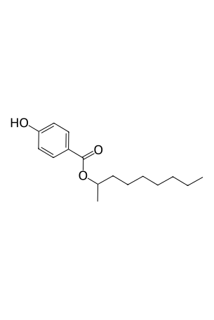 CCCCCCCC(C)OC(=O)c1ccc(O)cc1